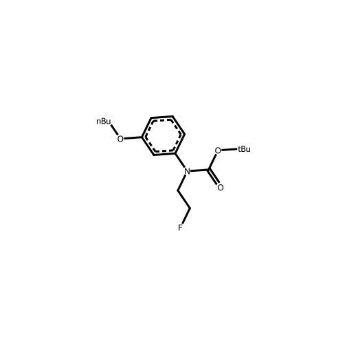 CCCCOc1cccc(N(CCF)C(=O)OC(C)(C)C)c1